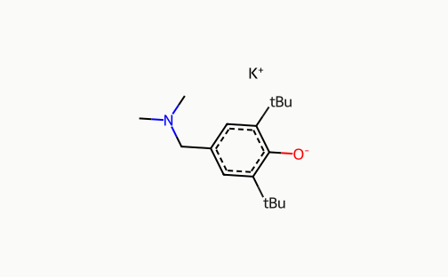 CN(C)Cc1cc(C(C)(C)C)c([O-])c(C(C)(C)C)c1.[K+]